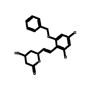 O=C1CC(O)CC(C=Cc2c(Cl)cc(Cl)cc2OCc2ccccc2)O1